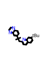 CC(C)(C)c1ccc2ccc(CC(C)(C)c3ccc4nccnc4c3)nc2c1